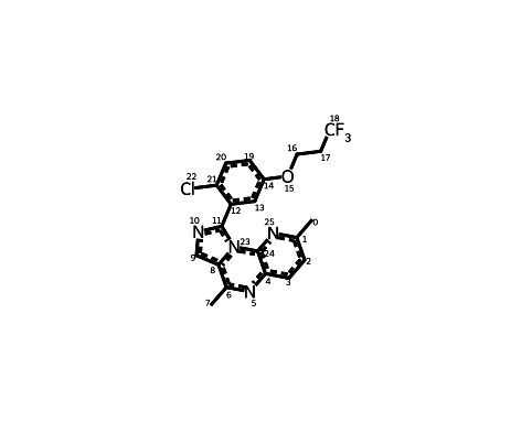 Cc1ccc2nc(C)c3cnc(-c4cc(OCCC(F)(F)F)ccc4Cl)n3c2n1